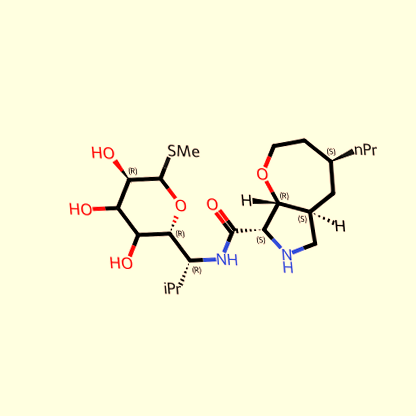 CCC[C@@H]1CCO[C@@H]2[C@H](CN[C@@H]2C(=O)N[C@H](C(C)C)[C@H]2OC(SC)[C@H](O)C(O)C2O)C1